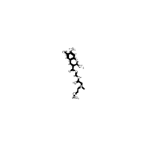 CN(CCO[N+](=O)[O-])CC(=O)OCOC(=O)C1=Cc2cc(Cl)c(C(C)(C)C)cc2OC1C(F)(F)F